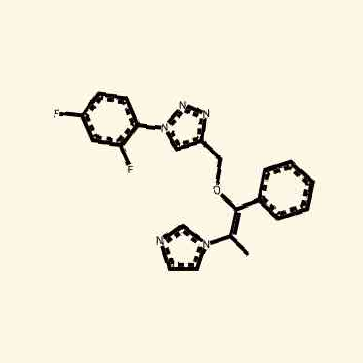 C/C(=C(/OCc1cn(-c2ccc(F)cc2F)nn1)c1ccccc1)n1ccnc1